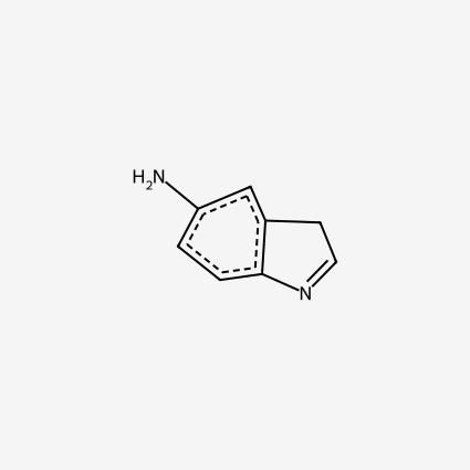 Nc1ccc2c(c1)CC=N2